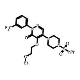 CCCS(=O)(=O)N1CCN(c2cnn(-c3cccc(C(F)(F)F)c3)c(=O)c2OCCOCC)CC1